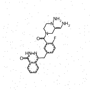 N/C=C1/CN(C(=O)c2cc(Cc3n[nH]c(=O)c4ccccc34)ccc2F)CCN1N